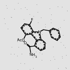 CC(=O)Oc1ccc(F)c2c1c1c(C(N)=O)cccc1n2Cc1ccccc1